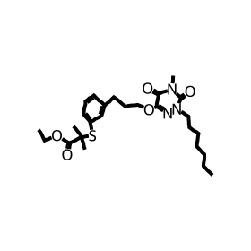 CCCCCCCn1nc(OCCCc2cccc(SC(C)(C)C(=O)OCC)c2)c(=O)n(C)c1=O